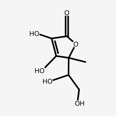 CC1(C(O)CO)OC(=O)C(O)=C1O